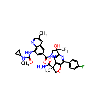 Cc1cnc2c(NC(=O)N(C)C3CC3)cc(C(=O)NCC(O)(c3cc4c(c(-c5ccc(F)cc5)n3)OC[C@]4(C)C(N)=O)C(F)(F)F)cc2c1